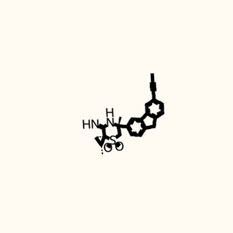 CC#Cc1ccc2c(c1)-c1cc([C@]3(C)CS(=O)(=O)[C@]4(C[C@H]4C)C(=N)N3)ccc1C2